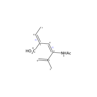 C=C(C)/C(=C\C(=C/C)C(=O)O)NC(C)=O